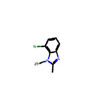 Cc1nc2cccc(Br)c2n1C(C)C